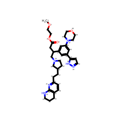 COCCOC(=O)CC(CN1CCC(CCc2ccc3c(n2)NCCC3)C1)c1cc(-c2ccn[nH]2)cc(N2CCOCC2)c1